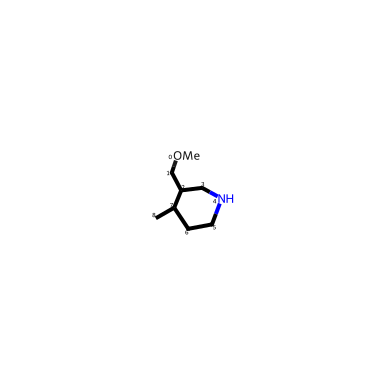 COCC1CNCCC1C